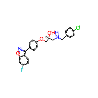 O[C@@H](CNCc1ccc(Cl)cc1)COc1ccc(-c2noc3cc(F)ccc23)cc1